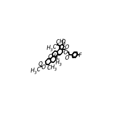 CC(=O)OC1CCC2(C)C(CCC3(C)C4CCC5(C(=O)OCC(=O)c6ccc(F)cc6)CC(=O)C(C(C)C)=C5C4CCC32)C1C